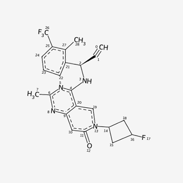 C#C[C@@H](Nc1nc(C)nc2cc(=O)n(C3CC(F)C3)cc12)c1cccc(C(F)(F)F)c1C